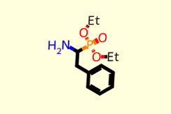 CCOP(=O)(OCC)C(N)Cc1ccccc1